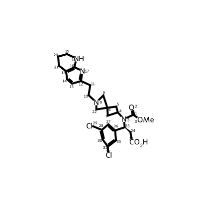 COC(=O)N(C1CC2(C1)CN(CCc1ccc3c(n1)NCCC3)C2)[C@@H](CC(=O)O)c1cc(Cl)cc(Cl)c1